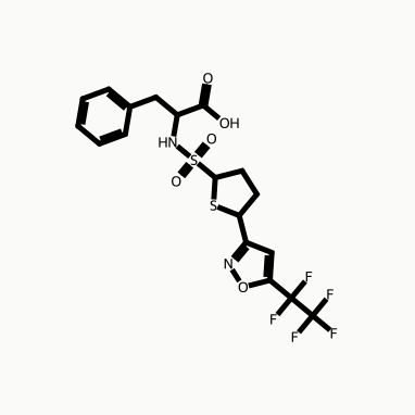 O=C(O)C(Cc1ccccc1)NS(=O)(=O)C1CCC(c2cc(C(F)(F)C(F)(F)F)on2)S1